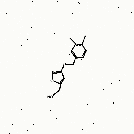 Cc1ccc(COc2cc(CO)on2)cc1C